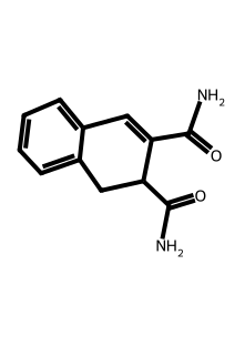 NC(=O)C1=Cc2ccccc2CC1C(N)=O